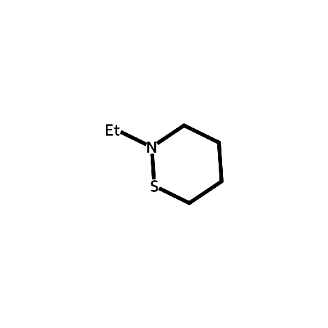 CCN1CCCCS1